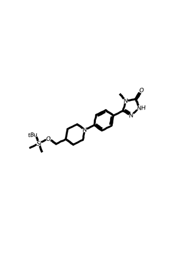 Cn1c(-c2ccc(N3CCC(CO[Si](C)(C)C(C)(C)C)CC3)cc2)n[nH]c1=O